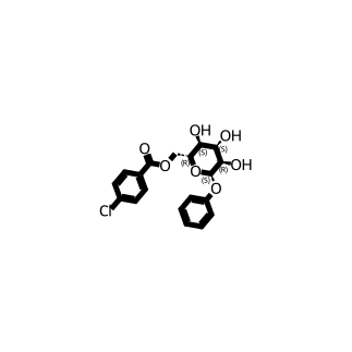 O=C(OC[C@H]1O[C@@H](Oc2ccccc2)[C@H](O)[C@@H](O)[C@@H]1O)c1ccc(Cl)cc1